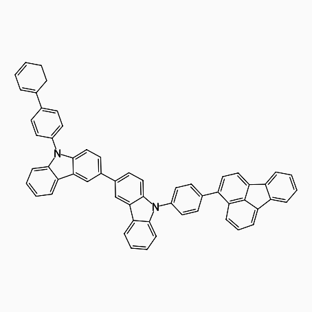 C1=CCCC(c2ccc(-n3c4ccccc4c4cc(-c5ccc6c(c5)c5ccccc5n6-c5ccc(-c6ccc7c8c(cccc68)-c6ccccc6-7)cc5)ccc43)cc2)=C1